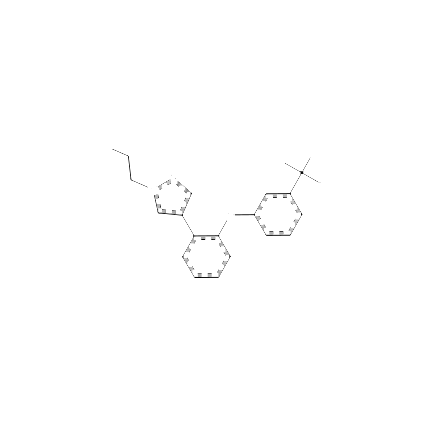 OCCn1cc(-c2ccccc2Nc2cccc(C(F)(F)F)c2)cn1